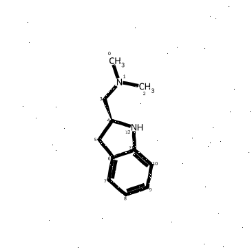 CN(C)C[C@@H]1Cc2ccccc2N1